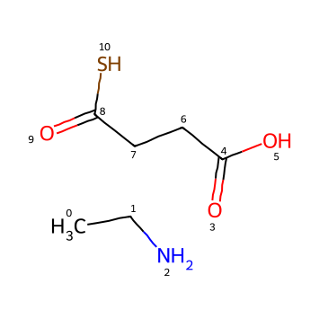 CCN.O=C(O)CCC(=O)S